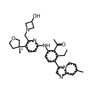 CCc1c(-c2cnc3cc(C)ccn23)ccc(Nc2ccc([C@]3(C)CCOC3)c(CN3CC(O)C3)n2)c1C(C)=O